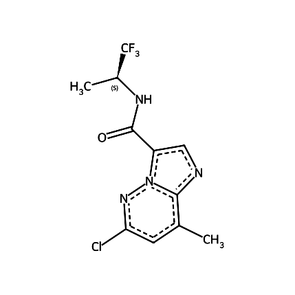 Cc1cc(Cl)nn2c(C(=O)N[C@@H](C)C(F)(F)F)cnc12